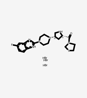 Br.Br.Br.O=C([C@@H]1C[C@H](N2CCN(c3nc4cc(F)ccc4[nH]3)CC2)CN1)N1CCSC1